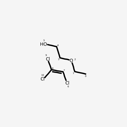 CCOCCO.ClC=C(Cl)Cl